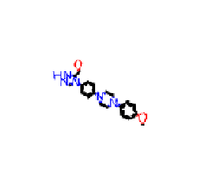 COc1ccc(N2CCN(c3ccc(N4C=NNC4C=O)cc3)CC2)cc1